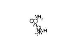 CC(C)C1=NNC2C=CC(O[C@@H]3CC[C@H](N)c4ccccc43)=CN12